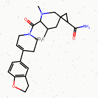 CN1CC2(CC(C(=O)O)C1C(=O)N1CC=C(c3ccc4c(c3)CCO4)CC1)CC2C(N)=O